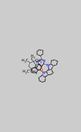 CC1CC(C)(C)c2cc(-n3c4ccccc4c4ccc5c6ccccc6n(-c6nc(-c7ccccc7)nc7c6oc6ccccc67)c5c43)ccc2C1(C)C